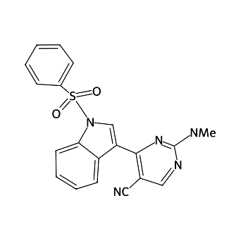 CNc1ncc(C#N)c(-c2cn(S(=O)(=O)c3ccccc3)c3ccccc23)n1